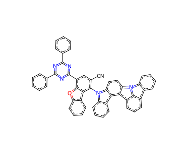 N#Cc1cc(-c2nc(-c3ccccc3)nc(-c3ccccc3)n2)c2oc3ccccc3c2c1-n1c2ccccc2c2c3c4cccc5c6ccccc6n(c3ccc21)c54